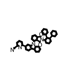 N#Cc1cccc(-c2ccc3c4ccccc4n(-c4cccc5c4C(=O)N(c4cccc(-c6ccccc6)c4-c4ccccc4)C5O)c3c2)n1